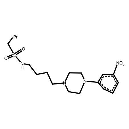 CC(C)CS(=O)(=O)NCCCCN1CCN(c2cccc([N+](=O)[O-])c2)CC1